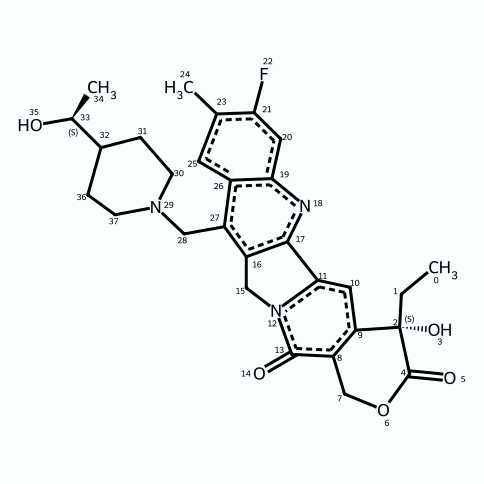 CC[C@@]1(O)C(=O)OCc2c1cc1n(c2=O)Cc2c-1nc1cc(F)c(C)cc1c2CN1CCC([C@H](C)O)CC1